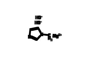 Cn1ccnc1.[Mg+2].[OH-].[OH-]